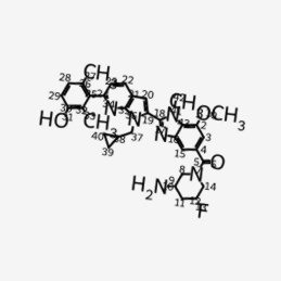 COc1cc(C(=O)N2C[C@H](N)C[C@@H](F)C2)cc2nc(-c3cc4ccc(-c5c(C)ccc(O)c5C)nc4n3CC3CC3)n(C)c12